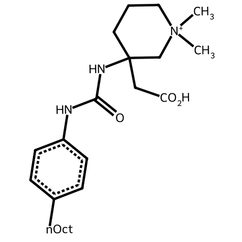 CCCCCCCCc1ccc(NC(=O)NC2(CC(=O)O)CCC[N+](C)(C)C2)cc1